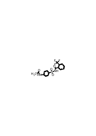 CC(=O)Nc1ccc(S(=O)(=O)NC(=O)c2ccccc2C(F)(F)F)cc1